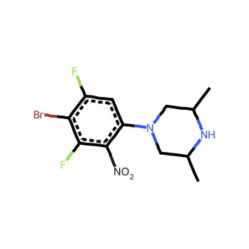 CC1CN(c2cc(F)c(Br)c(F)c2[N+](=O)[O-])CC(C)N1